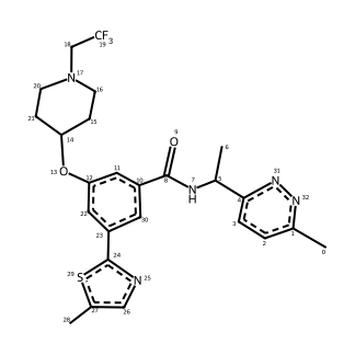 Cc1ccc(C(C)NC(=O)c2cc(OC3CCN(CC(F)(F)F)CC3)cc(-c3ncc(C)s3)c2)nn1